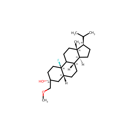 COC[C@@]1(O)CC[C@]2(F)C3CC[C@]4(C)[C@@H](C(C)C)CC[C@H]4[C@@H]3CC[C@@H]2C1